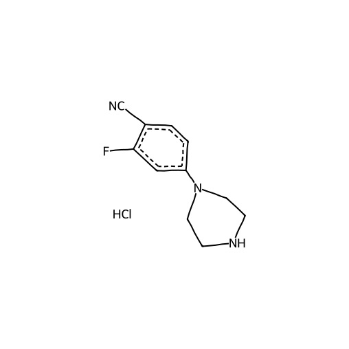 Cl.N#Cc1ccc(N2CCNCC2)cc1F